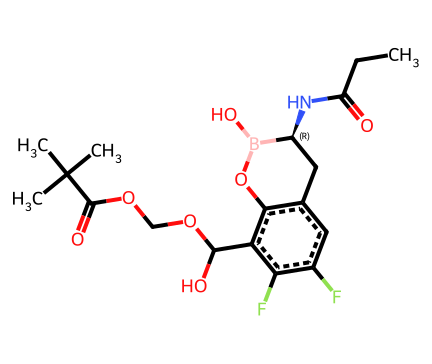 CCC(=O)N[C@H]1Cc2cc(F)c(F)c(C(O)OCOC(=O)C(C)(C)C)c2OB1O